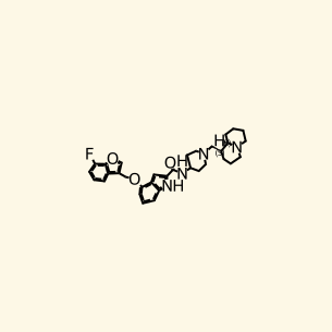 O=C(NC1CCN(C[C@@H]2CCCN3CCCC[C@H]23)CC1)c1cc2c(OCc3coc4c(F)cccc34)cccc2[nH]1